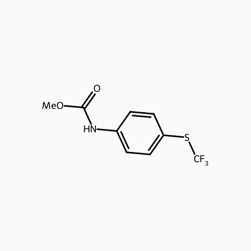 COC(=O)Nc1ccc(SC(F)(F)F)cc1